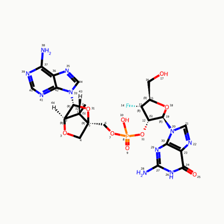 C[C@H]1[C@H]2OC[C@]1(COP(=O)(O)O[C@@H]1[C@H](F)[C@@H](CO)O[C@H]1n1cnc3c(=O)[nH]c(N)nc31)O[C@H]2n1cnc2c(N)ncnc21